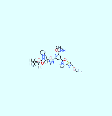 COCc1csc(C2CCCN2C(=O)c2cc(C(=N)OC)nc(-c3nnc(C(C)(Cc4ccccc4)NC(=O)OC(C)(C)C)o3)c2)n1